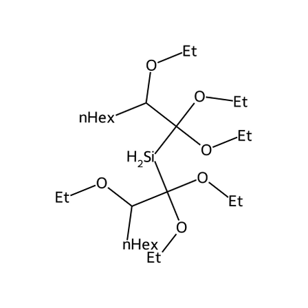 CCCCCCC(OCC)C(OCC)(OCC)[SiH2]C(OCC)(OCC)C(CCCCCC)OCC